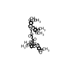 COc1cc2c(cc1C=O)[C@@H](Cc1ccc(OC)c(OC)c1)[N+](C)(CCCOC(=O)/C=C/C(=O)OCCC[N@+]1(C)CCc3cc(OC)c(OC)cc3[C@H]1Cc1ccc(OC)c(OC)c1)CC2